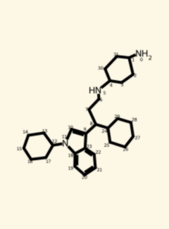 NC1CCC(NCCC(c2cn(C3CCCCC3)c3ccccc23)C2CCCCC2)CC1